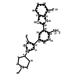 Cc1nn(C2CCN(C)CC2)cc1-c1cnc(N)c(-c2nc3c(F)cccc3o2)c1